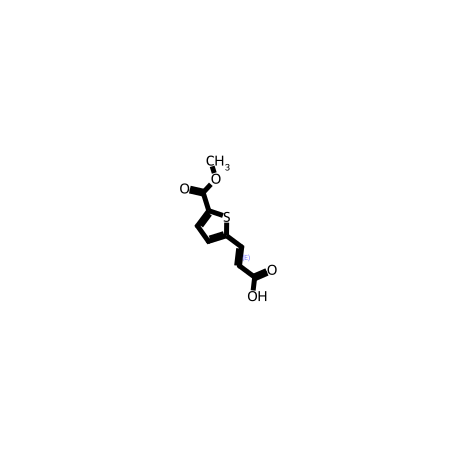 COC(=O)c1ccc(/C=C/C(=O)O)s1